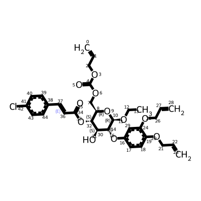 C=CCOC(=O)OC[C@H]1O[C@@H](OCC)[C@H](Oc2ccc(OCC=C)c(OCC=C)c2)[C@@H](O)[C@@H]1OC(=O)/C=C/c1ccc(Cl)cc1